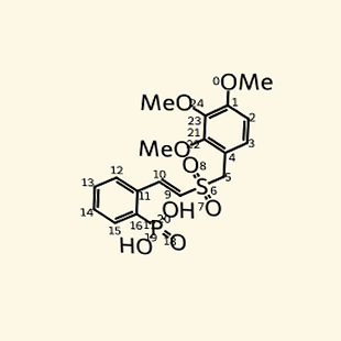 COc1ccc(CS(=O)(=O)C=Cc2ccccc2P(=O)(O)O)c(OC)c1OC